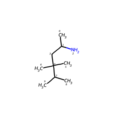 CC(N)CC(C)(C)C(C)C